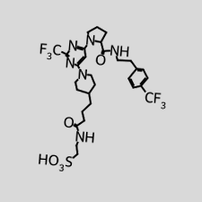 O=C(CCCC1CCN(c2cc(N3CCCC3C(=O)NCCc3ccc(C(F)(F)F)cc3)nc(C(F)(F)F)n2)CC1)NCCS(=O)(=O)O